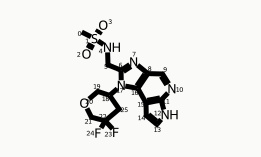 CS(=O)(=O)NCc1nc2cnc3[nH]ccc3c2n1C1COCC(F)(F)C1